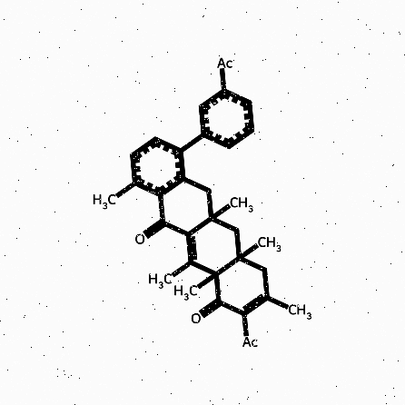 CC(=O)C1=C(C)CC2(C)CC3(C)Cc4c(-c5cccc(C(C)=O)c5)ccc(C)c4C(=O)C3=C(C)C2(C)C1=O